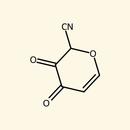 N#CC1OC=CC(=O)C1=O